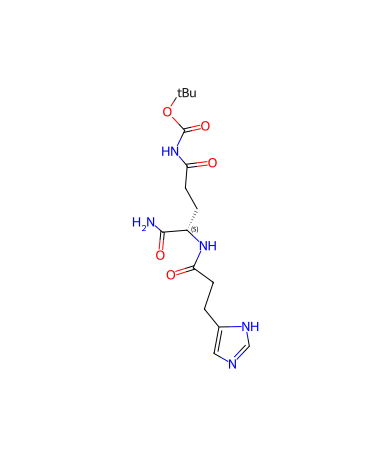 CC(C)(C)OC(=O)NC(=O)CC[C@H](NC(=O)CCc1cnc[nH]1)C(N)=O